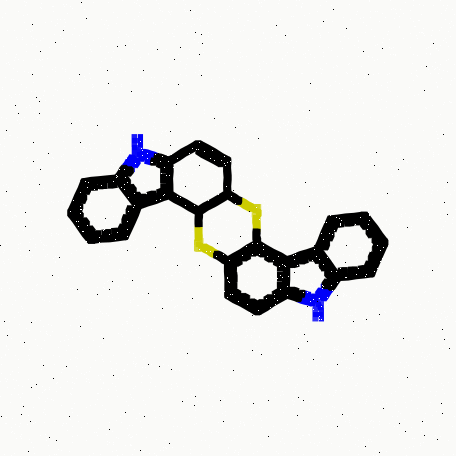 C1=CC2Sc3c(ccc4[nH]c5ccccc5c34)SC2c2c1[nH]c1ccccc21